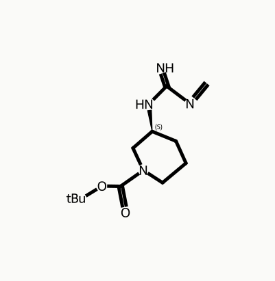 C=NC(=N)N[C@H]1CCCN(C(=O)OC(C)(C)C)C1